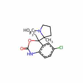 CC1(C2(C(F)(F)F)OC(=O)Nc3ccc(Cl)cc32)CCCN1C(=O)O